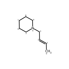 CC=CCN1C[CH]CCC1